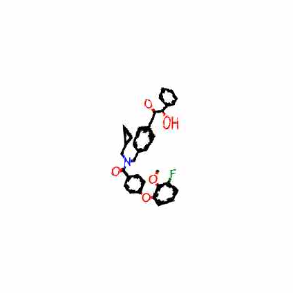 COc1c(F)cccc1Oc1ccc(C(=O)N(Cc2ccc(C(=O)C(O)c3ccccc3)cc2)CC2CC2)cc1